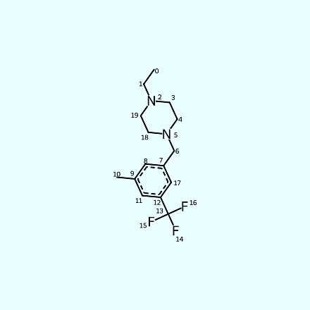 CCN1CCN(Cc2cc(C)cc(C(F)(F)F)c2)CC1